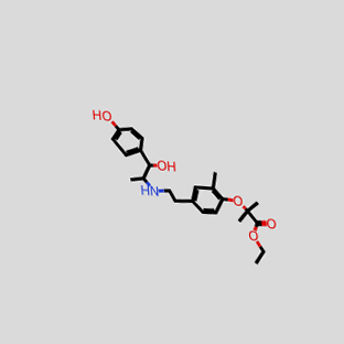 CCOC(=O)C(C)(C)Oc1ccc(CCNC(C)C(O)c2ccc(O)cc2)cc1C